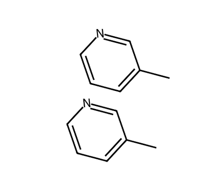 Cc1cccnc1.Cc1cccnc1